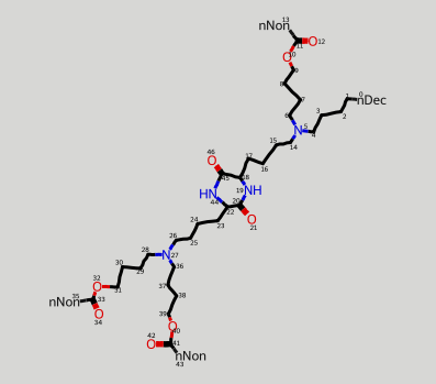 CCCCCCCCCCCCCCN(CCCCOC(=O)CCCCCCCCC)CCCCC1NC(=O)C(CCCCN(CCCCOC(=O)CCCCCCCCC)CCCCOC(=O)CCCCCCCCC)NC1=O